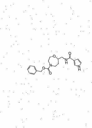 O=C(NCC1CCN(C(=O)OCc2ccccc2)CCO1)c1cc[nH]c1